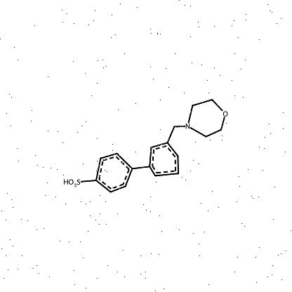 O=S(=O)(O)c1ccc(-c2cccc(CN3CCOCC3)c2)cc1